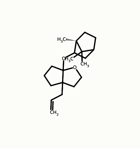 C=CCC12CCCC1(OC1CC3CC[C@@]1(C)C3(C)C)OCC2